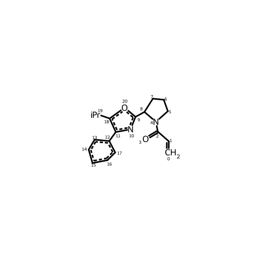 C=CC(=O)N1CCCC1c1nc(-c2ccccc2)c(C(C)C)o1